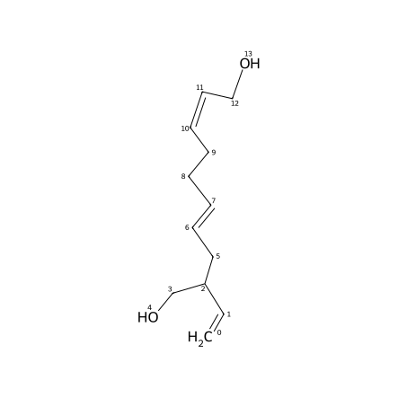 C=CC(CO)C/C=C/CC/C=C\CO